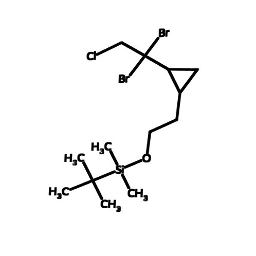 CC(C)(C)[Si](C)(C)OCCC1CC1C(Br)(Br)CCl